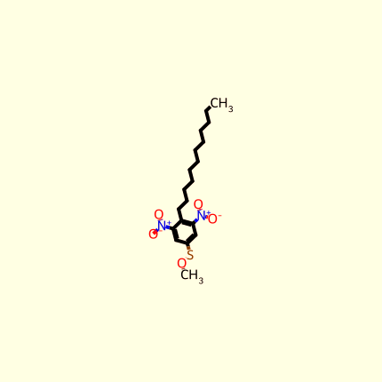 CCCCCCCCCCCCc1c([N+](=O)[O-])cc(SOC)cc1[N+](=O)[O-]